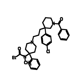 CCC(=O)N(C)C1(c2ccccc2)CCN(CCCC2(c3ccc(Cl)cc3)CCCN(C(=O)c3ccccc3)C2)CC1